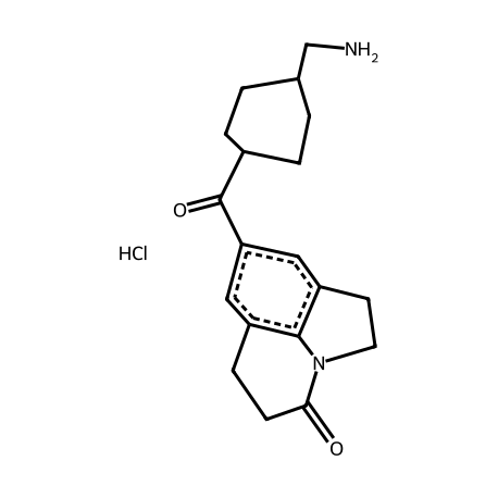 Cl.NCC1CCC(C(=O)c2cc3c4c(c2)CCN4C(=O)CC3)CC1